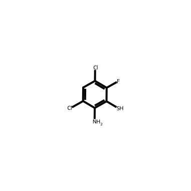 Nc1c(Cl)cc(Cl)c(F)c1S